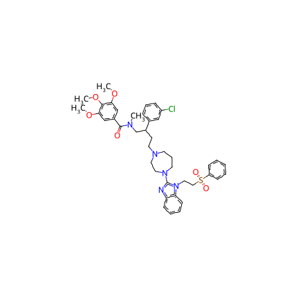 COc1cc(C(=O)N(C)CC(CCN2CCCN(c3nc4ccccc4n3CCS(=O)(=O)c3ccccc3)CC2)c2cccc(Cl)c2)cc(OC)c1OC